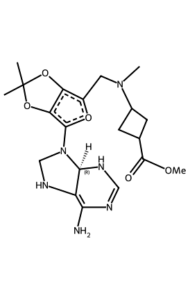 COC(=O)C1CC(N(C)Cc2oc(N3CNC4=C(N)N=CN[C@@H]43)c3c2OC(C)(C)O3)C1